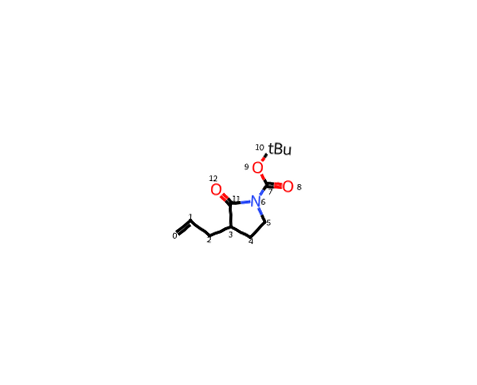 C=CCC1CCN(C(=O)OC(C)(C)C)C1=O